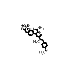 COc1ccc(CC(C)c2cnc3c(N)nc4cc(C=C(F)P(=O)(O)O)ccc4c3c2)cc1